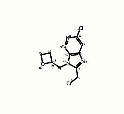 ClCc1nc2cc(Cl)nnc2n1C[C@@H]1CCO1